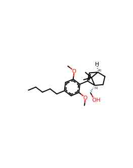 CCCCCc1cc(OC)c(C2=C[C@H]3CC[C@]2(CO)C3(C)C)c(OC)c1